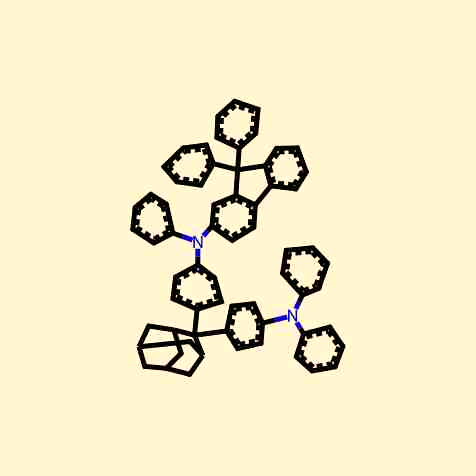 c1ccc(N(c2ccccc2)c2ccc(C3(c4ccc(N(c5ccccc5)c5ccc6c(c5)C(c5ccccc5)(c5ccccc5)c5ccccc5-6)cc4)C4CC5CC(C4)CC3C5)cc2)cc1